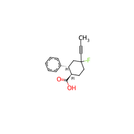 CC#CC1(F)CC[C@@H](C(=O)O)[C@H](c2ccccc2)C1